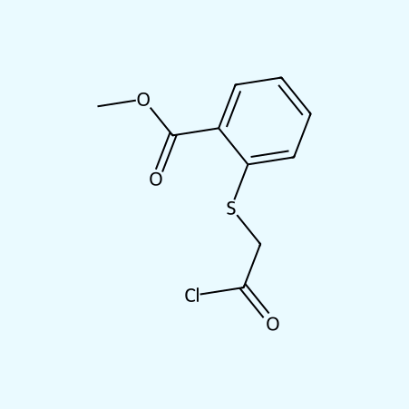 COC(=O)c1ccccc1SCC(=O)Cl